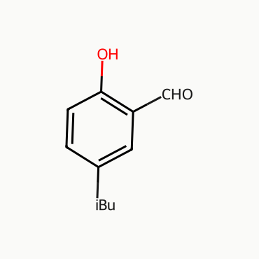 CCC(C)c1ccc(O)c(C=O)c1